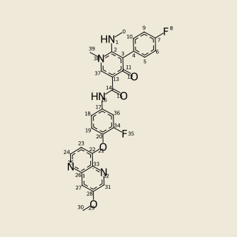 CNc1c(-c2ccc(F)cc2)c(=O)c(C(=O)Nc2ccc(Oc3ccnc4cc(OC)cnc34)c(F)c2)cn1C